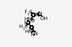 Cc1ncc(NC(=O)c2cc(-n3cnc(CO)c3)cc(C(F)(F)F)c2)cc1-c1ccc2c(c1)[nH]c1ncncc12